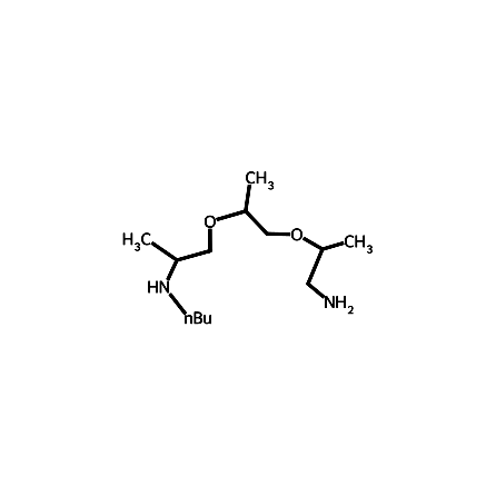 CCCCNC(C)COC(C)COC(C)CN